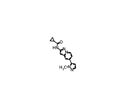 Cn1nccc1-c1ccn2nc(NC(=O)C3CC3)cc2c1